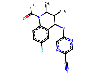 CC(=O)N1c2ccc(F)cc2C(Nc2cnc(C#N)cn2)C(C)[C@@H]1C